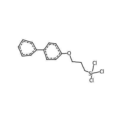 Cl[Si](Cl)(Cl)CCCOc1ccc(-c2ccccc2)cc1